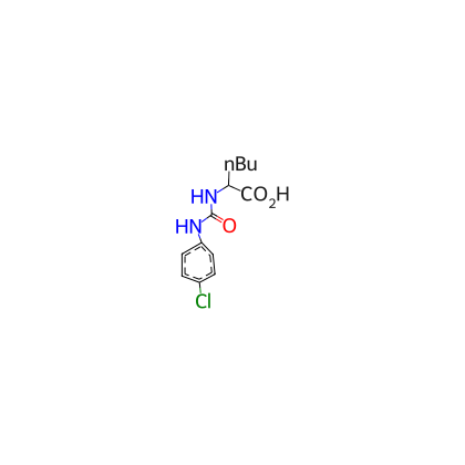 CCCCC(NC(=O)Nc1ccc(Cl)cc1)C(=O)O